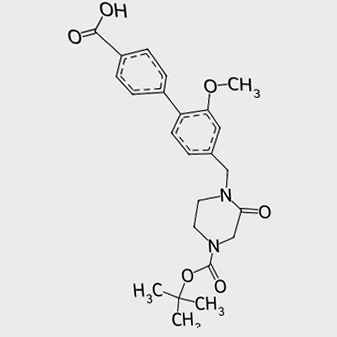 COc1cc(CN2CCN(C(=O)OC(C)(C)C)CC2=O)ccc1-c1ccc(C(=O)O)cc1